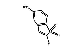 CC(C)(C)c1ccc2c(c1)C=C(F)S2(=O)=O